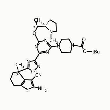 C[C@H](Oc1nc(-c2noc([C@@]3(C)CCCc4sc(N)c(C#N)c43)n2)nc(N2CCN(C(=O)OC(C)(C)C)CC2)n1)[C@@H]1CCCN1C